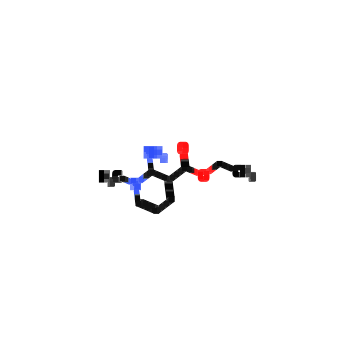 CCOC(=O)C1=CC=CN(C)C1N